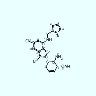 CO[C@@H]1C=CC[C@H](c2sc3c(NCc4cccs4)cc(Cl)nc3c2Br)[C@H]1N